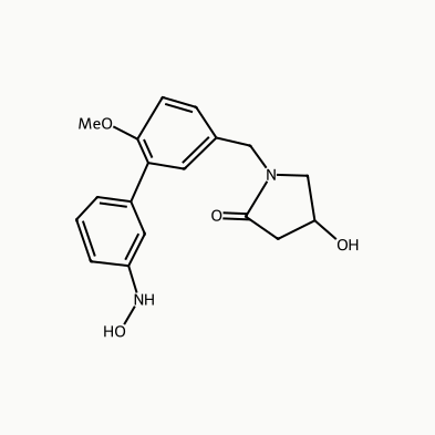 COc1ccc(CN2CC(O)CC2=O)cc1-c1cccc(NO)c1